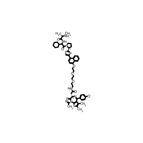 CN[C@@H](C)C(=O)NC(C(=O)N1CCC[C@H]1c1nc(-c2ccc(OCCOCCOCCNC(=O)C[C@@H]3N=C(c4ccc(Cl)cc4)c4c(sc(C)c4C)-n4c(C)nnc43)c3ccccc23)cs1)C1CCCCC1